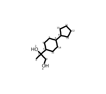 CC(O)(CO)C1CCC(C2CCCC2)CC1